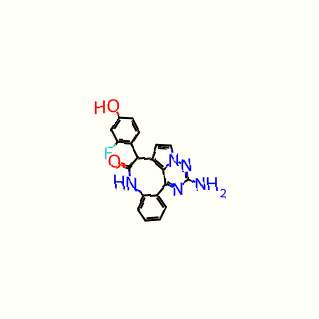 Nc1nc2c3c(ccn3n1)C(c1ccc(O)cc1F)C(=O)Nc1ccccc1-2